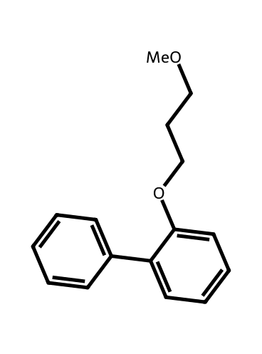 COCCCOc1ccccc1-c1ccccc1